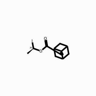 C[C@@H](I)OC(=O)C1=C2C3CC(C1)CC2C3